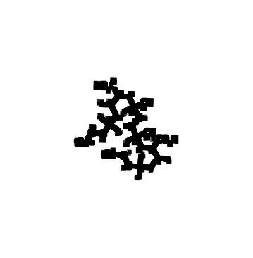 CC(CC(C)(C)OOC(C)(C)C)C(CC(C)(C#N)N=NC(C)(C#N)CC(C(=O)O)C(C)CC(C)(C)OOC(C)(C)C)C(=O)O